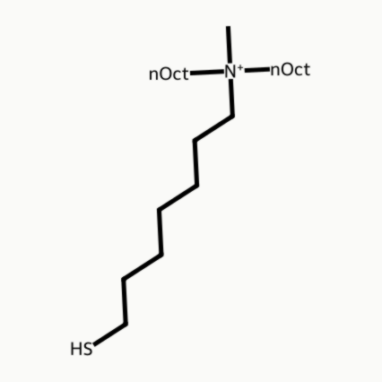 CCCCCCCC[N+](C)(CCCCCCCC)CCCCCCCS